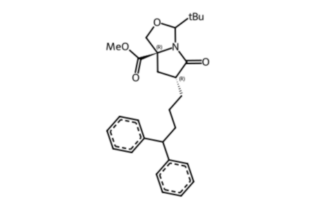 COC(=O)[C@@]12COC(C(C)(C)C)N1C(=O)[C@H](CCCC(c1ccccc1)c1ccccc1)C2